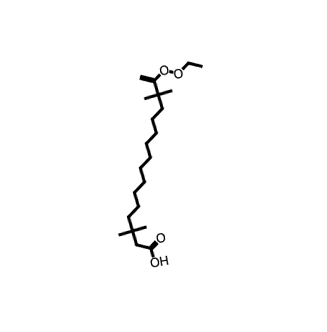 C=C(OOCC)C(C)(C)CCCCCCCCCCC(C)(C)CC(=O)O